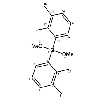 CO[Si](OC)(c1cccc(C)c1C)c1cccc(C)c1C